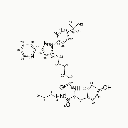 CCCCNC(=O)C(Cc1ccc(O)cc1)NC(=O)CCCCCc1cc(-c2ccccn2)nn1-c1ccc(C(C)(C)C)cc1